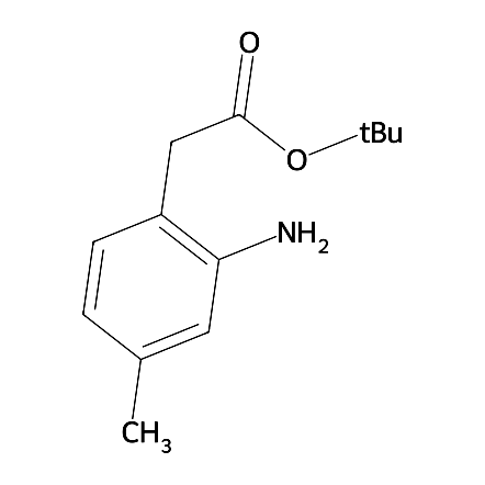 Cc1ccc(CC(=O)OC(C)(C)C)c(N)c1